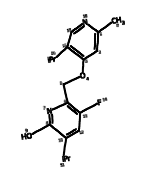 Cc1cc(OCc2nc(O)c(C(C)C)cc2F)c(C(C)C)cn1